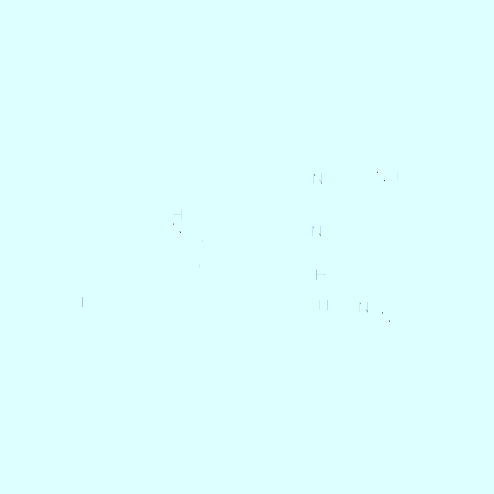 Cc1ccc(S(=O)(=O)NC2CCC(O)CC2)cc1-c1cnc2c(N)cc(-c3ccnn3C)cn12